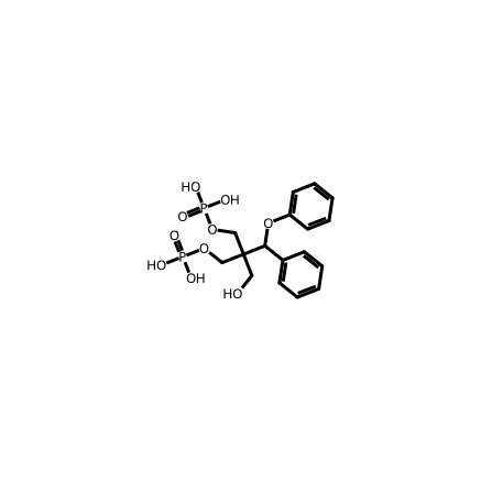 O=P(O)(O)OCC(CO)(COP(=O)(O)O)C(Oc1ccccc1)c1ccccc1